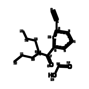 C#Cc1cccc(C(=O)N(CCC)CCC)c1.O=CO